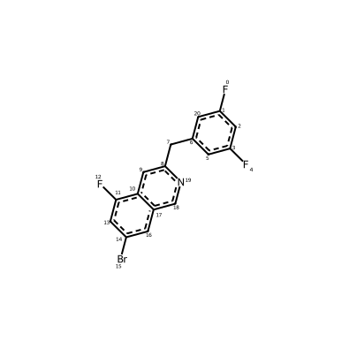 Fc1cc(F)cc(Cc2cc3c(F)cc(Br)cc3cn2)c1